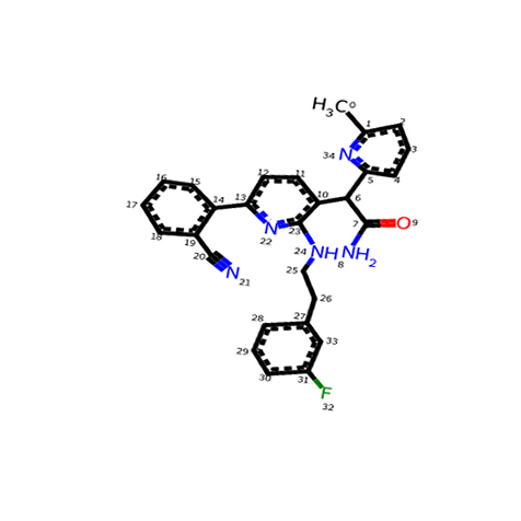 Cc1cccc(C(C(N)=O)c2ccc(-c3ccccc3C#N)nc2NCCc2cccc(F)c2)n1